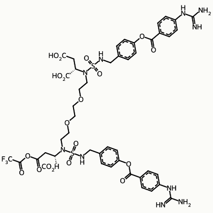 N=C(N)Nc1ccc(C(=O)Oc2ccc(CNS(=O)(=O)N(CCOCCOCCN([C@@H](CC(=O)OC(=O)C(F)(F)F)C(=O)O)S(=O)(=O)NCc3ccc(OC(=O)c4ccc(NC(=N)N)cc4)cc3)[C@@H](CC(=O)O)C(=O)O)cc2)cc1